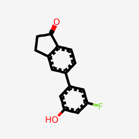 O=C1CCc2cc(-c3cc(O)cc(F)c3)ccc21